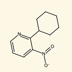 O=[N+]([O-])c1cccnc1C1[CH]CCCC1